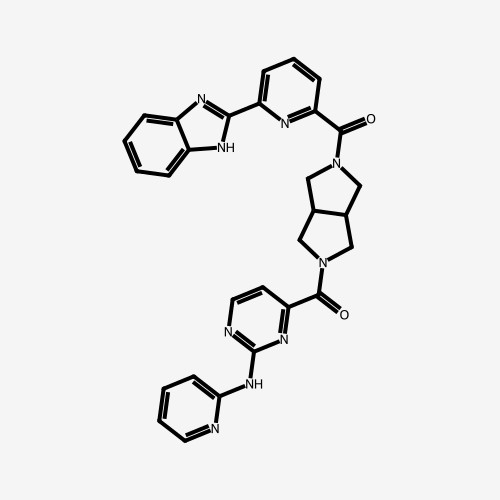 O=C(c1cccc(-c2nc3ccccc3[nH]2)n1)N1CC2CN(C(=O)c3ccnc(Nc4ccccn4)n3)CC2C1